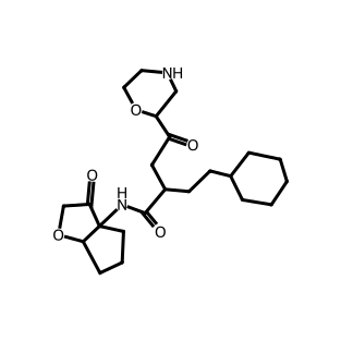 O=C(NC12CCCC1OCC2=O)C(CCC1CCCCC1)CC(=O)C1CNCCO1